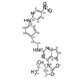 CC(C)[C@H]1COC(=O)N1c1nc(NCCc2ccc(Nc3ccc([N+](=O)[O-])cn3)cc2)nc2ccsc12